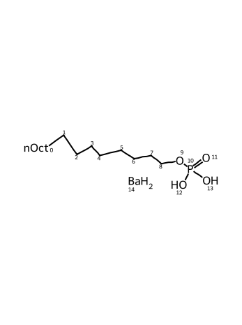 CCCCCCCCCCCCCCCCOP(=O)(O)O.[BaH2]